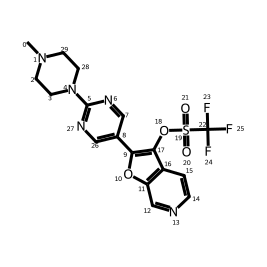 CN1CCN(c2ncc(-c3oc4cnccc4c3OS(=O)(=O)C(F)(F)F)cn2)CC1